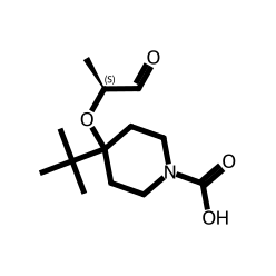 C[C@@H](C=O)OC1(C(C)(C)C)CCN(C(=O)O)CC1